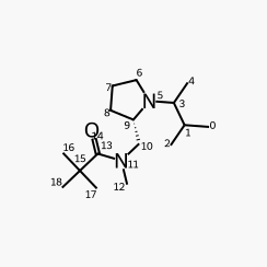 CC(C)C(C)N1CCC[C@H]1CN(C)C(=O)C(C)(C)C